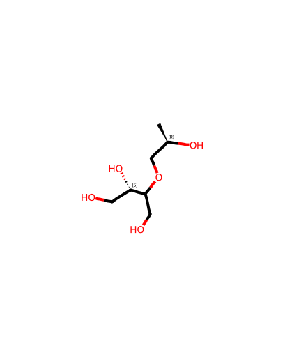 C[C@@H](O)COC(CO)[C@@H](O)CO